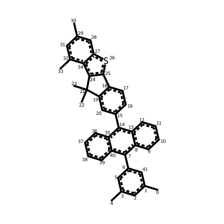 Cc1cc(C)cc(-c2c3ccccc3c(-c3ccc4c(c3)C(C)(C)c3c-4sc4cc(C)cc(C)c34)c3ccccc23)c1